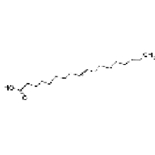 CCCCCCCCC=CCCCCCCCC(=O)O